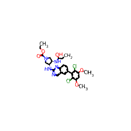 C=CC(O)N[C@H]1CN(C(=O)OCC)C[C@H]1Nc1ncc2cc(-c3c(Cl)c(OC)cc(OC)c3Cl)ccc2n1